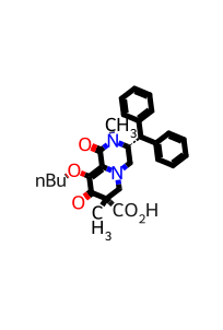 CCCCOC1=C2C(=O)N(C)[C@H](C(c3ccccc3)c3ccccc3)CN2CC(C)(C(=O)O)C1=O